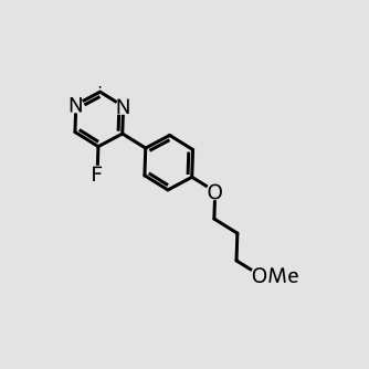 COCCCOc1ccc(-c2n[c]ncc2F)cc1